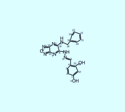 Oc1ccc(C=NNc2nc3nonc3nc2NCc2ccccc2)c(O)c1